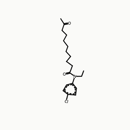 CCN(C(=O)CCCCCCCCC(C)=O)c1ccc(Cl)cc1